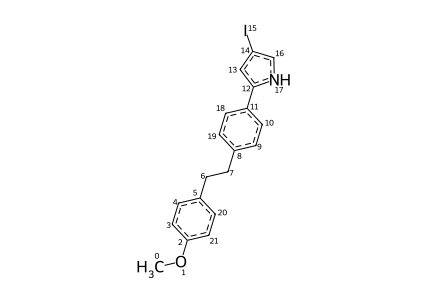 COc1ccc(CCc2ccc(-c3cc(I)c[nH]3)cc2)cc1